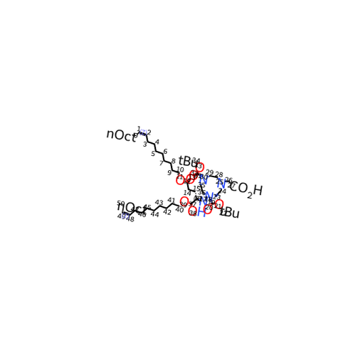 CCCCCCCC/C=C\CCCCCCCCOC(=O)CC[C@H](N[N+]1(C(=O)OC(C)(C)C)CCN(CC(=O)O)CCN(C(=O)OC(C)(C)C)CC1)C(=O)OCCCCCCCC/C=C\CCCCCCCC